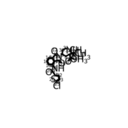 CC(C)(C)C1(C(=O)O)CC(N2C(=O)c3cccc(NC(=O)c4ccc(Cl)s4)c3C2=O)CCN1